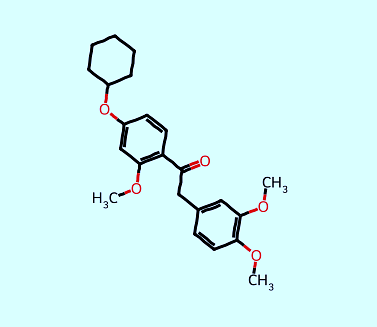 COc1ccc(CC(=O)c2ccc(OC3CCCCC3)cc2OC)cc1OC